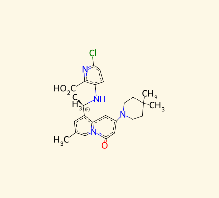 Cc1cc([C@@H](C)Nc2ccc(Cl)nc2C(=O)O)c2cc(N3CCC(C)(C)CC3)cc(=O)n2c1